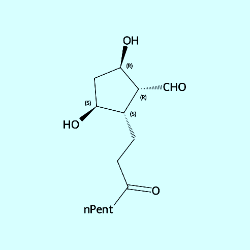 CCCCCC(=O)CC[C@H]1[C@@H](C=O)[C@H](O)C[C@@H]1O